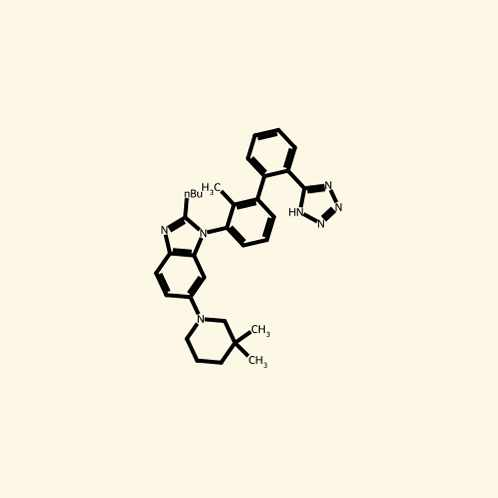 CCCCc1nc2ccc(N3CCCC(C)(C)C3)cc2n1-c1cccc(-c2ccccc2-c2nnn[nH]2)c1C